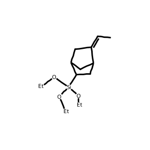 CC=C1CC2CC1CC2[Si](OCC)(OCC)OCC